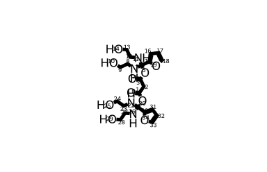 O=C(CC(=O)OC(NCCO)(NCCO)c1ccco1)OC(NCCO)(NCCO)c1ccco1